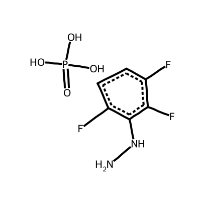 NNc1c(F)ccc(F)c1F.O=P(O)(O)O